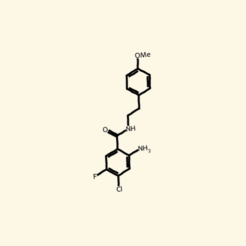 COc1ccc(CCNC(=O)c2cc(F)c(Cl)cc2N)cc1